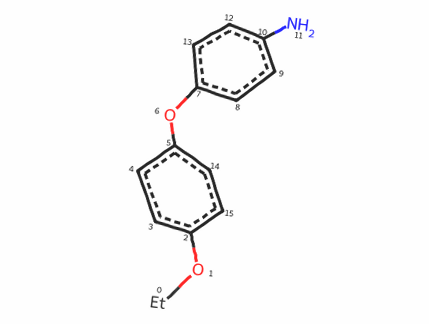 CCOc1ccc(Oc2ccc(N)cc2)cc1